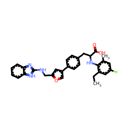 CCc1cc(F)cc(C)c1NC(Cc1ccc(-c2coc(CNc3nc4ccccc4[nH]3)c2)cc1)C(=O)O